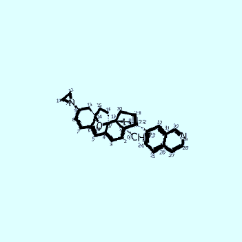 C[C@]12CC=C3C=C4CC[C@@H](N5CC5)C[C@]45CC[C@]3(O5)[C@@H]1CC[C@@H]2c1ccc2ccncc2c1